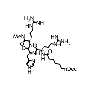 CCCCCCCCCCCCCCCC(=O)N[C@@H](CCCNC(=N)N)C(=O)N[C@@H](Cc1c[nH]cn1)C(=O)N[C@@H](CCCNC(=N)N)C(=O)NC